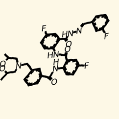 CC(O)CN(Cc1cccc(C(=O)Nc2ccc(F)cc2C(=O)Nc2ccc(F)cc2C(=O)NN=Cc2cccc(F)c2)c1)CC(C)O